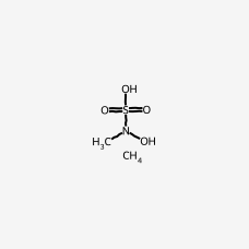 C.CN(O)S(=O)(=O)O